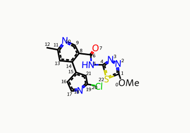 COc1nnc(NC(=O)c2cnc(C)cc2-c2ccnc(Cl)c2)s1